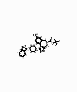 CC(C)(C)OC(=O)N1Cc2cc(Cl)ccc2-n2c(nnc2[C@H]2CC[C@@H](c3onc4ccccc43)CC2)C1